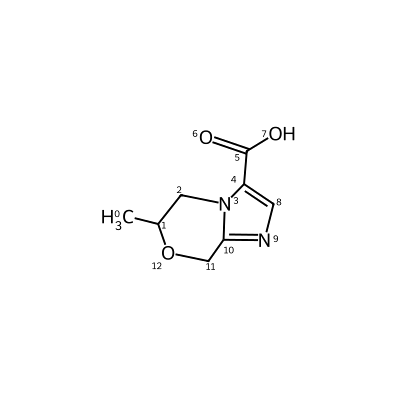 CC1Cn2c(C(=O)O)cnc2CO1